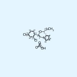 CSCOC(=Cn1ccnc1)c1ccc(Cl)cc1Cl.O=[N+]([O-])O